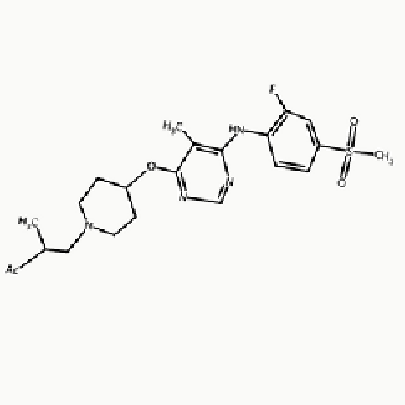 CC(=O)C(C)CN1CCC(Oc2ncnc(Nc3ccc(S(C)(=O)=O)cc3F)c2C)CC1